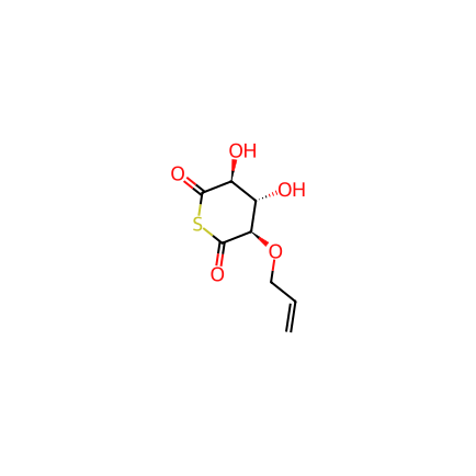 C=CCO[C@H]1C(=O)SC(=O)[C@@H](O)[C@@H]1O